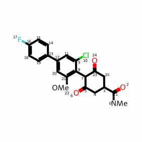 CNC(=O)C1CC(=O)C(c2c(Cl)cc(-c3ccc(F)cc3)cc2OC)C(=O)C1